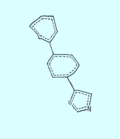 c1ccc(-c2ccc(-c3cnco3)cc2)cc1